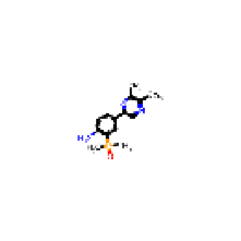 Cc1ncc(-c2ccc(N)c(P(C)(C)=O)c2)nc1C